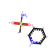 CS(N)(=O)=O.c1ccncc1